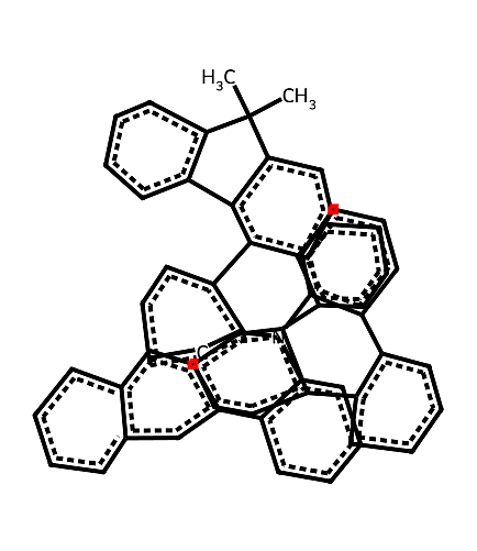 CC1(C)c2ccccc2-c2c(-c3ccccc3N(c3ccccc3-c3ccc4ccccc4c3)c3ccccc3-c3ccccc3-c3ccccc3-c3ccccc3)cccc21